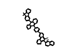 CC1(C)c2ccccc2-c2cc(-c3c4ccccc4c(-c4ccc(-c5ccc6c(c5)c5ccccc5c5c7ccc8ccccc8c7sc65)cc4)c4ccccc34)ccc21